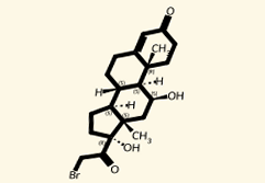 C[C@]12CCC(=O)C=C1CC[C@@H]1[C@@H]2[C@@H](O)C[C@@]2(C)[C@H]1CC[C@]2(O)C(=O)CBr